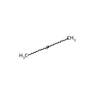 CCCCCCCCCCCCCCCCC[P]CCCCCCCCCCCCCCCCC